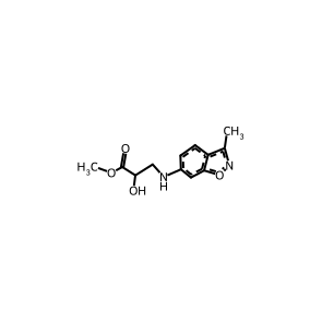 COC(=O)C(O)CNc1ccc2c(C)noc2c1